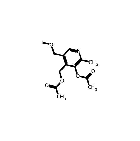 CC(=O)OCc1c(COI)cnc(C)c1OC(C)=O